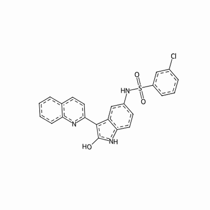 O=S(=O)(Nc1ccc2[nH]c(O)c(-c3ccc4ccccc4n3)c2c1)c1cccc(Cl)c1